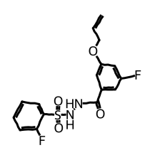 C=CCOc1cc(F)cc(C(=O)NNS(=O)(=O)c2ccccc2F)c1